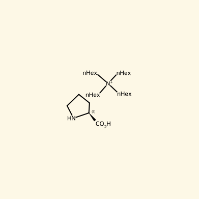 CCCCCC[N+](CCCCCC)(CCCCCC)CCCCCC.O=C(O)[C@@H]1CCCN1